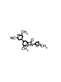 Cc1cc(-c2cc(C)nc(C(=O)Nc3ccn(C)n3)c2)cc(C#N)n1